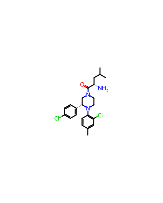 Cc1ccc(N2CCN(C(=O)[C@@H](N)CC(C)C)C[C@H]2c2ccc(Cl)cc2)c(Cl)c1